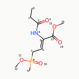 CCC(=O)N/C(=C\CP(C)(=O)OC)C(=O)OC